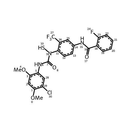 COc1cc(OC)c(NC(=O)N(S)c2ccc(NC(=O)c3ccccc3F)cc2C(F)(F)F)cc1Cl